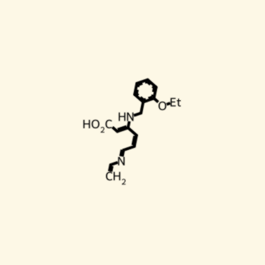 C=C/N=C/C=C\C(=C\C(=O)O)NCc1ccccc1OCC